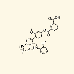 COc1ccccc1NCc1c(-c2ccc(OC(=O)c3cccc(C(=O)O)c3)cc2OC)ccc2c1C(C)=CC(C)(C)N2